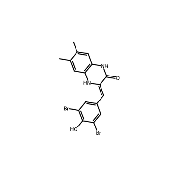 Cc1cc2c(cc1C)NC(=Cc1cc(Br)c(O)c(Br)c1)C(=O)N2